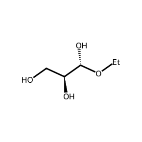 CCO[C@@H](O)[C@@H](O)CO